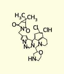 CC1(C)C2C(=O)N(Cc3cc4c(-c5cc(Cl)cc6c5N(CC5CNCCO5)CCC6)ncnn4c3)C(=O)C21.Cl